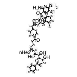 CCCCCCN(CCCC(=O)N1CCC(CN(CC(CNC(=O)c2nc(Cl)c(N)nc2N)Cc2ccccc2C)C(=O)O)CC1)CC(O)C(O)[C@@H]1O[C@H](c2ccccc2)OC[C@H]1O